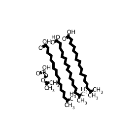 CC(C)CCCCCCCCCCCCCCC(=O)O.CC(C)CCCCCCCCCCCCCCC(=O)O.CC(C)CCCCCCCCCCCCCCC(=O)O.CC(C)O[O][Ti](=[O])[OH]